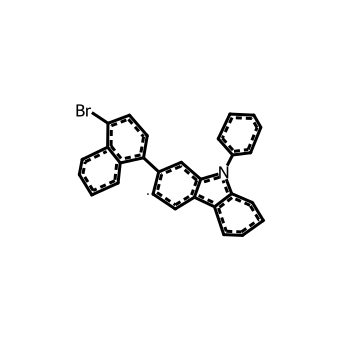 Brc1ccc(-c2[c]cc3c4ccccc4n(-c4ccccc4)c3c2)c2ccccc12